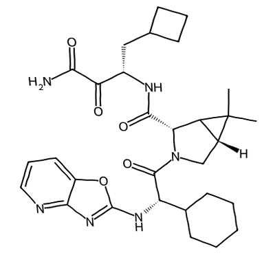 CC1(C)C2[C@@H](C(=O)N[C@@H](CC3CCC3)C(=O)C(N)=O)N(C(=O)[C@@H](Nc3nc4ncccc4o3)C3CCCCC3)C[C@H]21